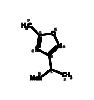 CNC(C)c1noc(C)n1